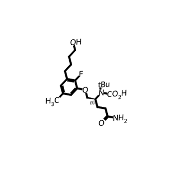 Cc1cc(CCCCO)c(F)c(OC[C@H](CCC(N)=O)N(C(=O)O)C(C)(C)C)c1